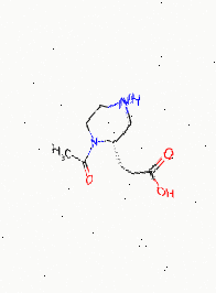 CC(=O)N1CCNC[C@@H]1CC(=O)O